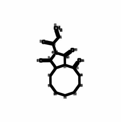 C=CC(=O)N1C(=O)C2CCCCCCCC(=O)C2C1=O